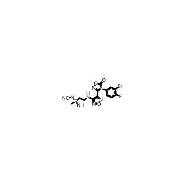 CS(=N)(CCNc1nonc1-c1noc(=O)n1-c1ccc(F)c(Br)c1)=NC#N